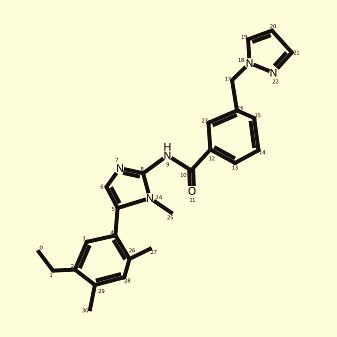 CCc1cc(-c2cnc(NC(=O)c3cccc(Cn4cccn4)c3)n2C)c(C)cc1C